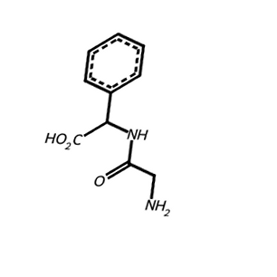 NCC(=O)NC(C(=O)O)c1ccccc1